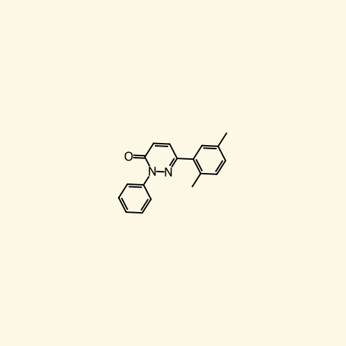 Cc1ccc(C)c(-c2ccc(=O)n(-c3ccccc3)n2)c1